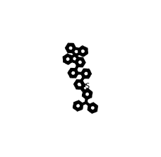 c1ccc(C(c2ccccc2)c2ccc3sc4c(-c5ccccc5-c5ccccc5-c5cccc6c5-c5ccccc5C65c6ccccc6-c6ccccc65)cccc4c3c2)cc1